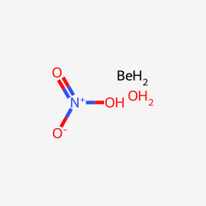 O.O=[N+]([O-])O.[BeH2]